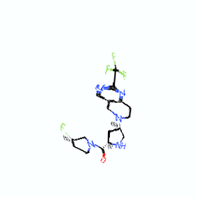 O=C([C@@H]1C[C@H](N2CCc3nc(C(F)(F)F)ncc3C2)CN1)N1CC[C@H](F)C1